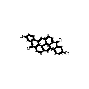 CCc1ccc2c(c1)c(=O)c1ccc3cc4c5ccc(CC)cc5c(=O)c5ccc6cc2c1c3c6c54